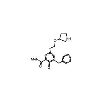 CNC(=O)c1cc(CCOC2CCNC2)cn(Cc2ccccc2)c1=O